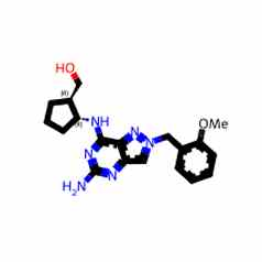 COc1ccccc1Cn1cc2nc(N)nc(N[C@@H]3CCC[C@H]3CO)c2n1